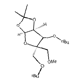 CCCCOC[C@]1(COC)O[C@H]2OC(C)(C)O[C@H]2C1OCCCC